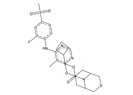 Cc1c(Nc2ccc(S(C)(=O)=O)cc2F)ncnc1OC1CC2COCC(C1)N2C(=O)OCC1CCC1